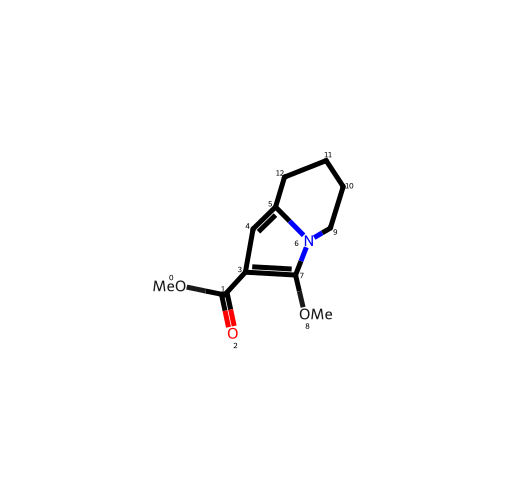 COC(=O)c1cc2n(c1OC)CCCC2